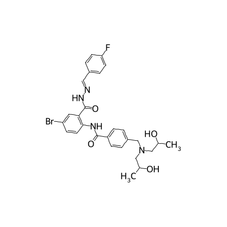 CC(O)CN(Cc1ccc(C(=O)Nc2ccc(Br)cc2C(=O)NN=Cc2ccc(F)cc2)cc1)CC(C)O